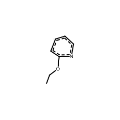 CCOc1c[c]ccn1